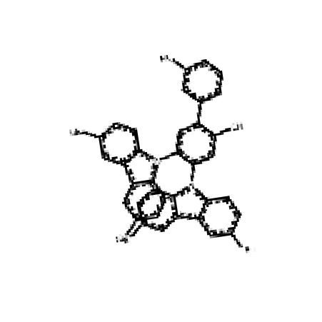 CC(C)(C)c1ccc2c(c1)c1cc(C(C)(C)C)ccc1n2-c1cc(C#N)c(-c2cccc(C#N)c2)cc1-n1c2ccc(C(C)(C)C)cc2c2cc(C(C)(C)C)ccc21